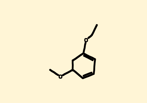 CCOC1=CC=C[C](OC)C1